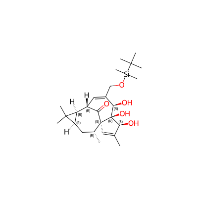 CC1=C[C@]23C(=O)[C@@H](C=C(CO[Si](C)(C)C(C)(C)C)[C@@H](O)[C@]2(O)[C@H]1O)[C@H]1[C@@H](C[C@H]3C)C1(C)C